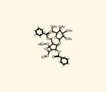 CCCCOC12OC(OCC)C1C(OC(=O)c1ccccc1)C(OC1OC(COC(C)=O)C(OC(C)=O)C(OC(C)=O)C1OC(C)=O)C2COC(=O)c1ccccc1